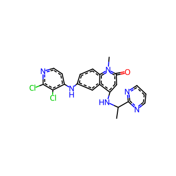 CC(Nc1cc(=O)n(C)c2ccc(Nc3ccnc(Cl)c3Cl)cc12)c1ncccn1